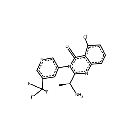 C[C@H](N)c1nc2cccc(Cl)c2c(=O)n1-c1cncc(C(F)(F)F)c1